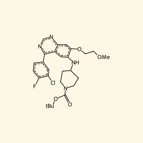 COCCOc1cc2ncnc(-c3ccc(F)c(Cl)c3)c2cc1NC1CCN(C(=O)OC(C)(C)C)CC1